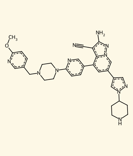 COc1ccc(CN2CCN(c3ccc(-c4cc(-c5cnn(C6CCNCC6)c5)cn5nc(N)c(C#N)c45)cn3)CC2)cn1